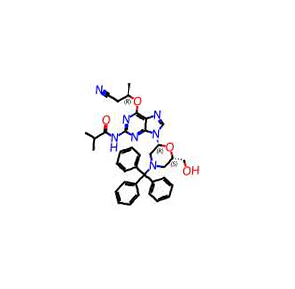 CC(C)C(=O)Nc1nc(O[C@H](C)CC#N)c2ncn([C@H]3CN(C(c4ccccc4)(c4ccccc4)c4ccccc4)C[C@@H](CO)O3)c2n1